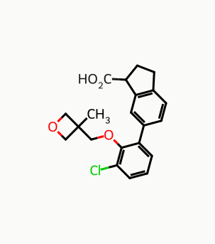 CC1(COc2c(Cl)cccc2-c2ccc3c(c2)C(C(=O)O)CC3)COC1